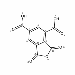 O=C(O)c1cc(C(=O)O)c2c(c1)C(=O)OC2=O